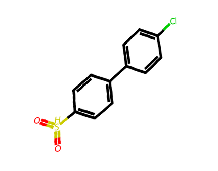 O=[SH](=O)c1ccc(-c2ccc(Cl)cc2)cc1